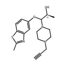 C#CCN1CCN(C(Oc2ccc3sc(C)nc3c2)[C@H](C)O)CC1